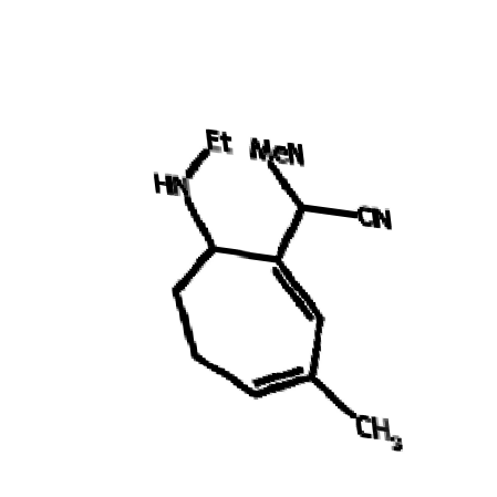 CCNC1CCC=C(C)C=C1C(C#N)NC